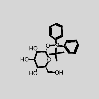 CC(C)(C)[Si](O[C@@H]1O[C@@H](CO)[C@H](O)[C@@H](O)[C@@H]1O)(c1ccccc1)c1ccccc1